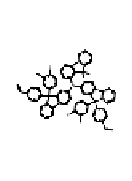 C=Cc1ccc(C2(c3ccc(F)c(C)c3)c3ccccc3-c3ccc(N(c4ccc5c(c4)C(c4ccc(C=C)cc4)(c4ccc(F)c(C)c4)c4ccccc4-5)c4cccc5c4C(C)(C)c4ccccc4-5)cc32)cc1